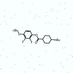 CCCCOc1ccc(OC(=O)C2CCC(CCCC)CC2)c(F)c1F